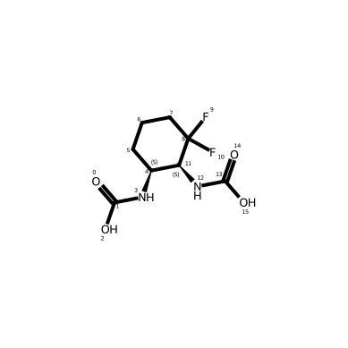 O=C(O)N[C@H]1CCCC(F)(F)[C@H]1NC(=O)O